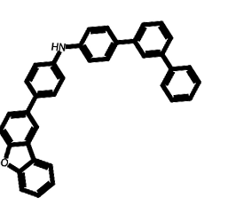 c1ccc(-c2cccc(-c3ccc(Nc4ccc(-c5ccc6oc7ccccc7c6c5)cc4)cc3)c2)cc1